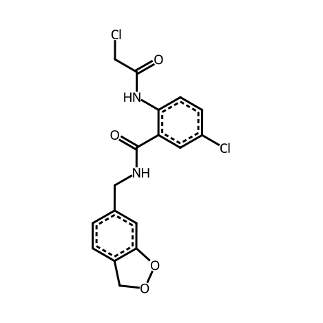 O=C(CCl)Nc1ccc(Cl)cc1C(=O)NCc1ccc2c(c1)OOC2